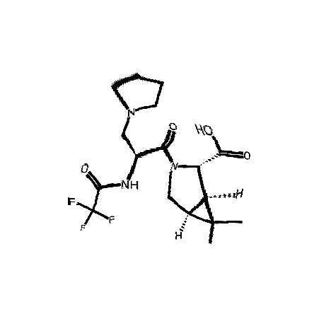 CC1(C)[C@@H]2[C@@H](C(=O)O)N(C(=O)[C@H](CN3CCCC3)NC(=O)C(F)(F)F)C[C@@H]21